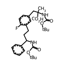 CC(C)(C)OC(=O)NC(CCc1cc(CC(C)(NC(=O)OC(C)(C)C)C(=O)O)ccc1F)c1ccccc1